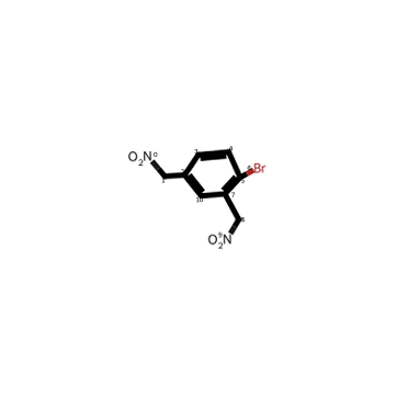 O=[N+]([O-])Cc1ccc(Br)c(C[N+](=O)[O-])c1